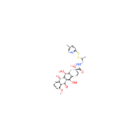 COc1cccc2c1C(=O)c1c(O)c3c(c(O)c1C2=O)C[C@@](O)(C(=O)NCC(C)SSc1ccc(C)cn1)CC3